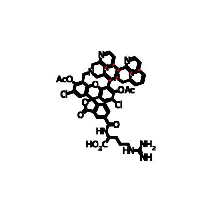 CC(=O)Oc1c(Cl)cc2c(c1CN(Cc1ccccn1)Cc1ccccn1)Oc1c(cc(Cl)c(OC(C)=O)c1CN(Cc1ccccn1)Cc1ccccn1)C21OC(=O)c2cc(C(=O)NC(CCCNC(=N)N)C(=O)O)ccc21